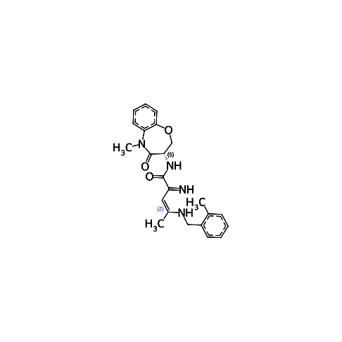 C/C(=C/C(=N)C(=O)N[C@H]1COc2ccccc2N(C)C1=O)NCc1ccccc1C